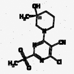 C[C@@]1(O)CCCN(c2nc(S(C)(=O)=O)nc(Cl)c2C#N)C1